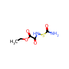 CCOC(=O)C(=O)NSC(N)=O